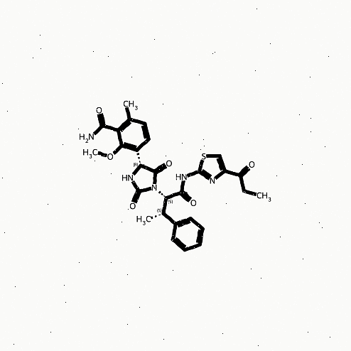 CCC(=O)c1csc(NC(=O)[C@H]([C@@H](C)c2ccccc2)N2C(=O)N[C@H](c3ccc(C)c(C(N)=O)c3OC)C2=O)n1